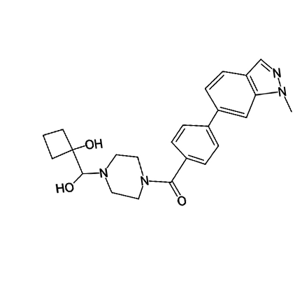 Cn1ncc2ccc(-c3ccc(C(=O)N4CCN(C(O)C5(O)CCC5)CC4)cc3)cc21